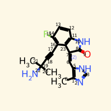 Cc1nc[nH]c1/C=C1\C(=O)Nc2ccc(F)c(C#CC(C)(C)N)c21